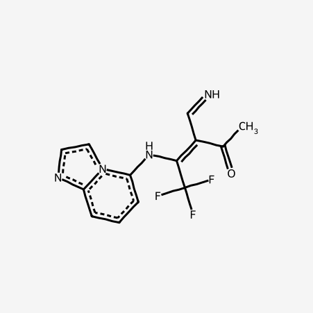 CC(=O)/C(C=N)=C(/Nc1cccc2nccn12)C(F)(F)F